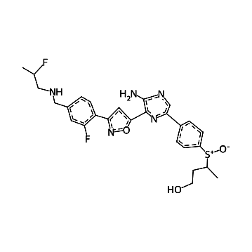 CC(F)CNCc1ccc(-c2cc(-c3nc(-c4ccc([S+]([O-])C(C)CCO)cc4)cnc3N)on2)c(F)c1